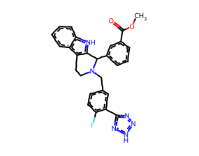 COC(=O)c1cccc(C2c3[nH]c4ccccc4c3CCN2Cc2ccc(F)c(-c3nn[nH]n3)c2)c1